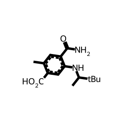 Cc1cc(C(N)=O)c(NC(C)C(C)(C)C)cc1C(=O)O